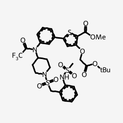 COC(=O)c1sc(-c2cccc(N(C(=O)C(F)(F)F)C3CCN(S(=O)(=O)Cc4ccccc4NS(C)(=O)=O)CC3)c2)cc1OCC(=O)OC(C)(C)C